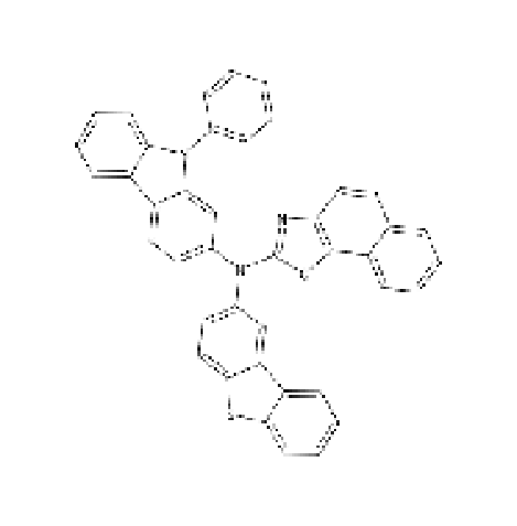 c1ccc(-n2c3ccccc3c3ccc(N(c4ccc5sc6ccccc6c5c4)c4nc5ccc6ccccc6c5o4)cc32)cc1